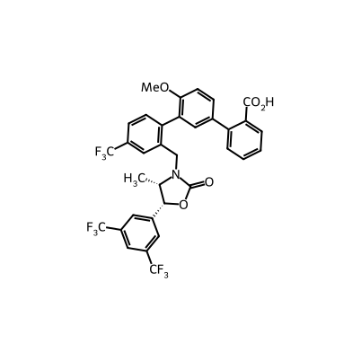 COc1ccc(-c2ccccc2C(=O)O)cc1-c1ccc(C(F)(F)F)cc1CN1C(=O)O[C@H](c2cc(C(F)(F)F)cc(C(F)(F)F)c2)[C@@H]1C